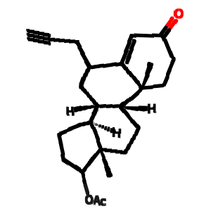 C#CCC1C[C@@H]2[C@@H](CC[C@]3(C)C(OC(C)=O)CC[C@@H]23)[C@@]2(C)CCC(=O)C=C12